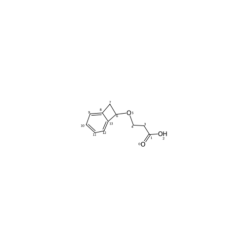 O=C(O)CCOC1Cc2ccccc21